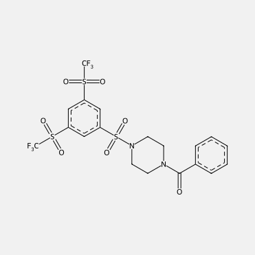 O=C(c1ccccc1)N1CCN(S(=O)(=O)c2cc(S(=O)(=O)C(F)(F)F)cc(S(=O)(=O)C(F)(F)F)c2)CC1